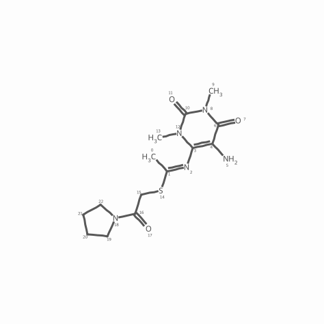 C/C(=N\c1c(N)c(=O)n(C)c(=O)n1C)SCC(=O)N1CCCC1